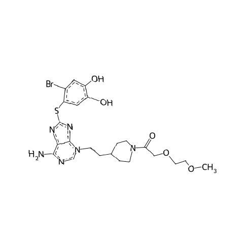 COCCOCC(=O)N1CCC(CCn2cnc(N)c3nc(Sc4cc(O)c(O)cc4Br)nc2-3)CC1